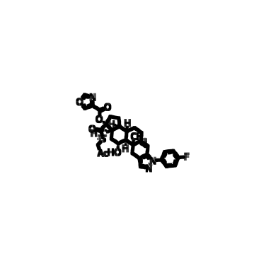 CC(=O)CSC(=O)[C@@]1(OC(=O)c2cocn2)CC[C@H]2[C@@H]3CCC4=Cc5c(cnn5-c5ccc(F)cc5)C[C@]4(C)[C@H]3[C@@H](O)C[C@@]21C